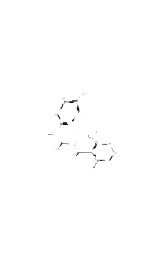 CCN(C(=O)NC(=O)c1c(Cl)cccc1Cl)c1ccc(Cl)cc1